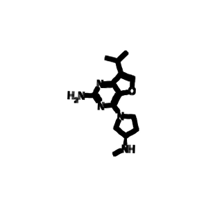 CN[C@@H]1CCN(c2nc(N)nc3c(C(C)C)coc23)C1